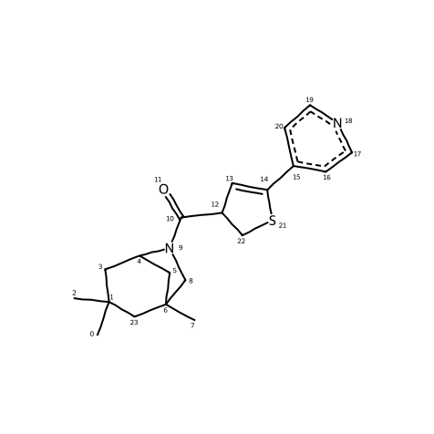 CC1(C)CC2CC(C)(CN2C(=O)C2C=C(c3ccncc3)SC2)C1